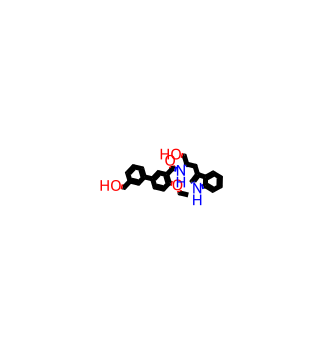 CCOc1ccc(-c2cccc(CO)c2)cc1C(=O)NC(CO)Cc1c[nH]c2ccccc12